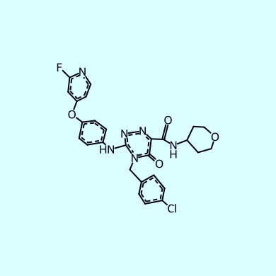 O=C(NC1CCOCC1)c1nnc(Nc2ccc(Oc3ccnc(F)c3)cc2)n(Cc2ccc(Cl)cc2)c1=O